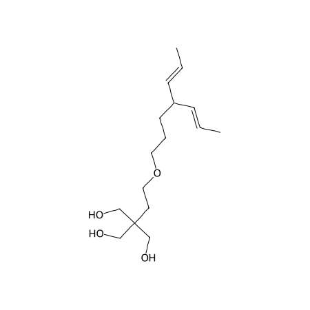 CC=CC(C=CC)CCCOCCC(CO)(CO)CO